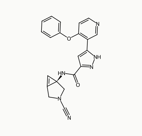 N#CN1CC2=C[C@]2(NC(=O)c2cc(-c3cnccc3Oc3ccccc3)[nH]n2)C1